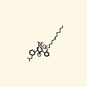 CCCCCCC=CCCCC[S+]([O-])c1ccccc1-c1cn(N(C)C)cc(-c2cccc(CC(C)C)c2)c1=O